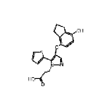 O=C(O)CCn1ncc(Oc2ccc(O)c3c2CCC3)c1-c1cccs1